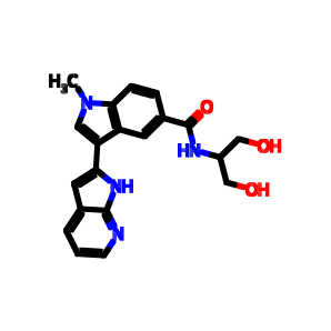 Cn1cc(-c2cc3cccnc3[nH]2)c2cc(C(=O)NC(CO)CO)ccc21